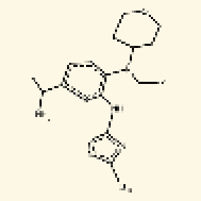 CC(C)CN(c1ccc(C(C)N)cc1Nc1nc(C(F)(F)F)ns1)C1CCOCC1